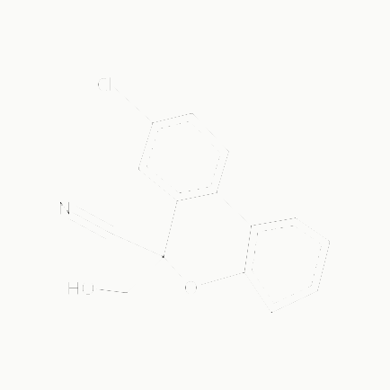 N#CC1(CO)Oc2ccccc2-c2ccc(Cl)cc21